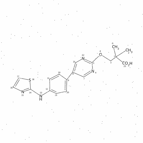 CC(C)(COc1ncc(-c2ccc(Nc3nccs3)cc2)cn1)C(=O)O